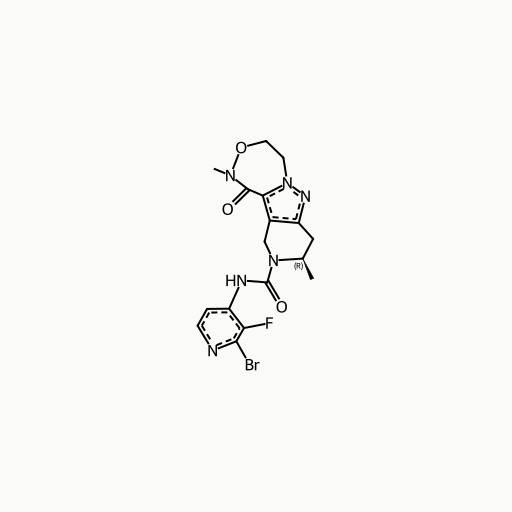 C[C@@H]1Cc2nn3c(c2CN1C(=O)Nc1ccnc(Br)c1F)C(=O)N(C)OCC3